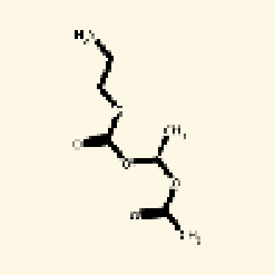 CC(=O)O[C@H](C)OC(=O)SCCN